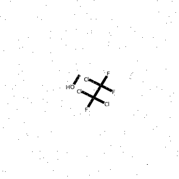 CO.FC(F)(Cl)C(F)(Cl)Cl